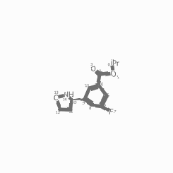 CC(C)OC(=O)c1cc(F)cc([C@H]2CCON2)c1